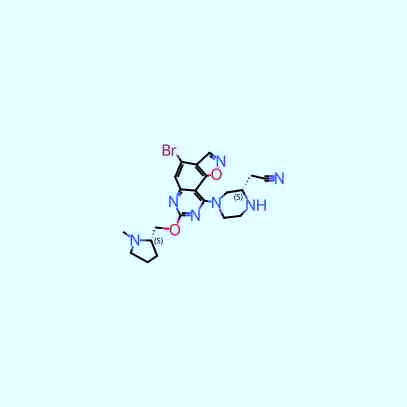 CN1CCC[C@H]1COc1nc(N2CCN[C@@H](CC#N)C2)c2c(cc(Br)c3cnoc32)n1